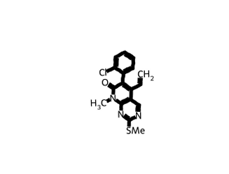 C=Cc1c(-c2ccccc2Cl)c(=O)n(C)c2nc(SC)ncc12